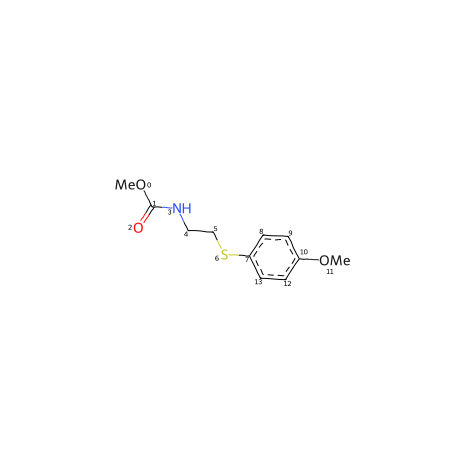 COC(=O)NCCSc1ccc(OC)cc1